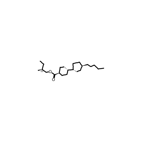 CCCCC[C@H]1CC[C@H]([C@H]2CC[C@H](C(=O)OC[C@@H](C)CC)CC2)CC1